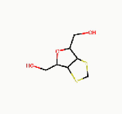 OCC1OC(CO)C2SCSC12